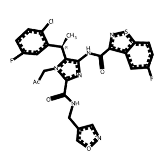 CC(=O)Cn1c(C(=O)NCc2cnoc2)nc(NC(=O)c2nsc3ccc(F)cc23)c1[C@H](C)c1cc(F)ccc1Cl